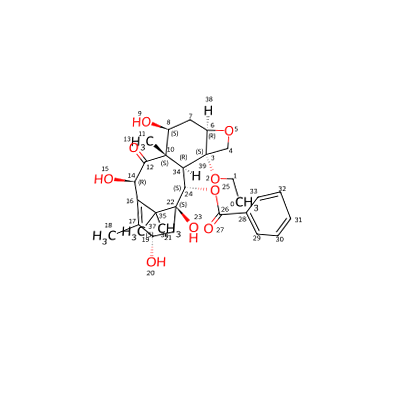 CCO[C@@]12CO[C@@H]1C[C@H](O)[C@@]1(C)C(=O)[C@H](O)C3=C(C)[C@@H](O)C[C@@](O)([C@@H](OC(=O)c4ccccc4)[C@H]21)C3(C)C